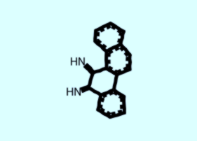 N=C1C(=N)c2c(ccc3ccccc23)-c2ccccc21